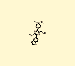 Cc1nc(N2CCC(C)(C)CC2)c(CO)nc1-c1ccc2[nH]ccc2c1